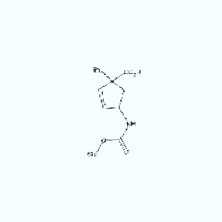 CC(C)C1(C(=O)O)C=CC(NC(=O)OC(C)(C)C)C1